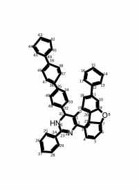 CC1=C(c2cccc3oc4cc(-c5ccccc5)ccc4c23)N=C(c2ccccc2)NC1c1ccc(-c2ccc(-c3ccccc3)cc2)cc1